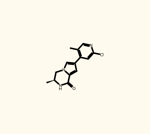 Cc1cnc(Cl)cc1-c1cc2n(c1)C[C@H](C)NC2=O